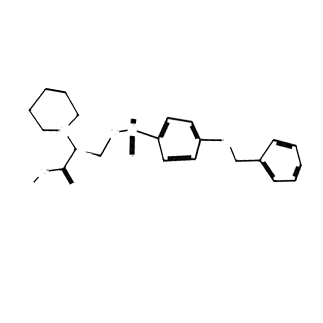 O=C(NO)[C@H](CNS(=O)(=O)c1ccc(OCc2ccccc2)cc1)N1CCCCC1